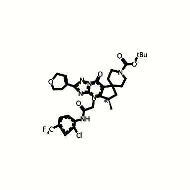 C[C@@H]1CC2(CCN(C(=O)OC(C)(C)C)CC2)c2c1n(CC(=O)Nc1ccc(C(F)(F)F)cc1Cl)c1nc(C3=CCOCC3)nn1c2=O